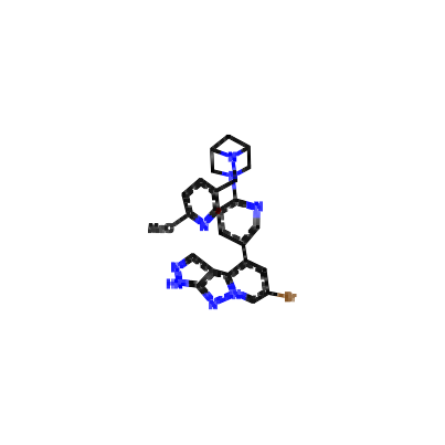 COc1ccc(CN2C3CC2CN(c2ccc(-c4cc(Br)cn5nc6[nH]ncc6c45)cn2)C3)cn1